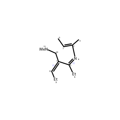 CC=C(C)/N=C(CC)\C(=C/CC)CNC